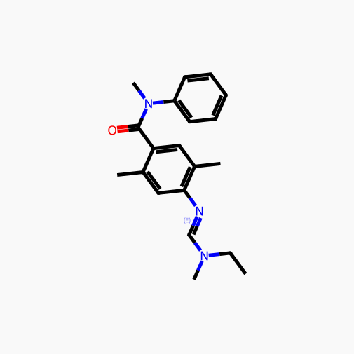 CCN(C)/C=N/c1cc(C)c(C(=O)N(C)c2ccccc2)cc1C